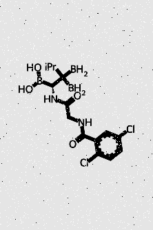 BC(B)(C(C)C)[C@H](NC(=O)CNC(=O)c1cc(Cl)ccc1Cl)B(O)O